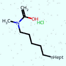 C=C(O)N(C)CCCCCCCCCCCC.Cl